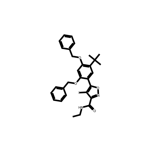 CCNC(=O)c1noc(-c2cc(C(C)(C)C)c(OCc3ccccc3)cc2OCc2ccccc2)c1I